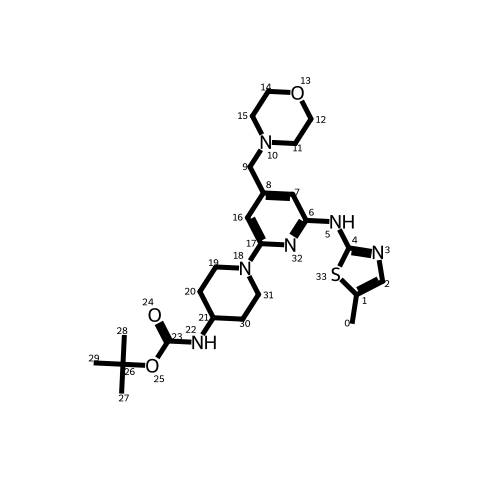 Cc1cnc(Nc2cc(CN3CCOCC3)cc(N3CCC(NC(=O)OC(C)(C)C)CC3)n2)s1